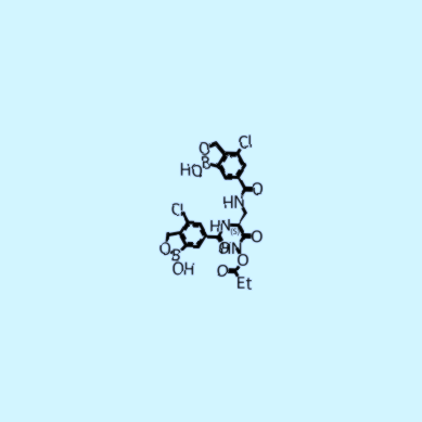 CCC(=O)ONC(=O)[C@H](CNC(=O)c1cc(Cl)c2c(c1)B(O)OC2)NC(=O)c1cc(Cl)c2c(c1)B(O)OC2